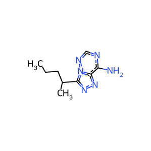 CCCC(C)c1nnc2c(N)ncnn12